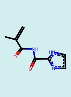 C=C(C)C(=O)NC(=O)c1ncc[nH]1